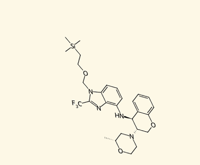 C[C@@H]1CN([C@H]2COc3ccccc3[C@@H]2Nc2cccc3c2nc(C(F)(F)F)n3COCC[Si](C)(C)C)CCO1